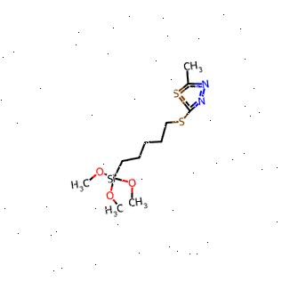 CO[Si](CCCCCSc1nnc(C)s1)(OC)OC